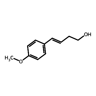 COc1ccc(C=CCCO)cc1